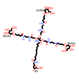 CC(=O)NC1C(OCCCCC(=O)NCCCNC(=O)CCOCC(COCCC(=O)NCCCNC(=O)CCCCOC2OC(CO)C(O)C(O)C2NC(C)=O)(COCCC(=O)NCCCNC(=O)CCCCOC2OC(CO)C(O)C(O)C2NC(C)=O)NC(=O)CCCCCCCCCCC(=O)NCC2C[C@@H](OC(C)C)[C@H](CO)O2)OC(CO)C(O)C1O